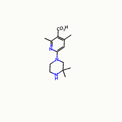 Cc1cc(N2CCNC(C)(C)C2)nc(C)c1C(=O)O